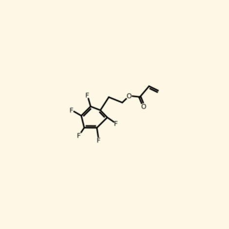 C=CC(=O)OCCc1c(F)c(F)c(F)c(F)c1F